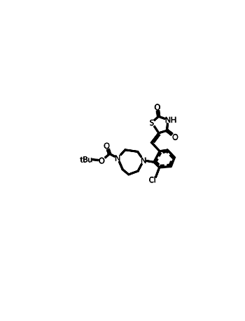 CC(C)(C)OC(=O)N1CCCN(c2c(Cl)cccc2C=C2SC(=O)NC2=O)CC1